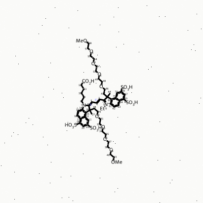 CC[N+]1=C(/C=C/C=C2/N(CCCCCC(=O)O)c3ccc4c(S(=O)(=O)O)cc(S(=O)(=O)O)cc4c3C2(C)CCOCCOCCOCCOCCOC)C(C)(CCOCCOCCOCCOCCOC)c2c1ccc1c(S(=O)(=O)O)cc(S(=O)(=O)O)cc21